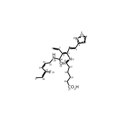 C=C/C(=C(\C=C\c1ccon1)/N=C/CCCCC(=O)O)C(O)NC/C=C\C(F)=C/C